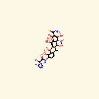 CCC(C(=O)Nc1ccc2c(c1O)C(=O)C1=C(O)[C@]3(O)C(=O)C(C(N)=O)=C(O)[C@@H](N(C)C)C3C(O)C1C2C)n1cnnc1C